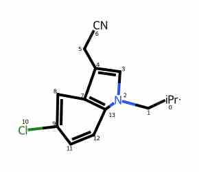 C[C](C)Cn1cc(CC#N)c2cc(Cl)ccc21